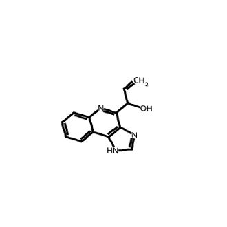 C=CC(O)c1nc2ccccc2c2[nH]cnc12